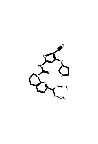 COC(OC)c1ccc2c(n1)N(C(=O)Nc1cc(OC3CCOC3)c(C#N)cn1)CCC2